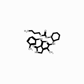 CCCCOC(=O)N[C@H]1CCCC[C@H]1Nc1nc(Nc2cccc(C)c2)c2c(c1C)CNC2=O